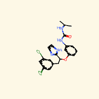 CC(C)NC(=O)Nc1cccc(OC(Cc2cc(Cl)cc(Cl)c2)c2ncc[nH]2)c1